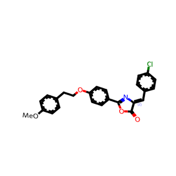 COc1ccc(CCOc2ccc(C3=N/C(=C\c4ccc(Cl)cc4)C(=O)O3)cc2)cc1